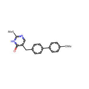 COc1ccc(-c2ccc(Cc3cnc(SC)[nH]c3=O)cc2)cc1